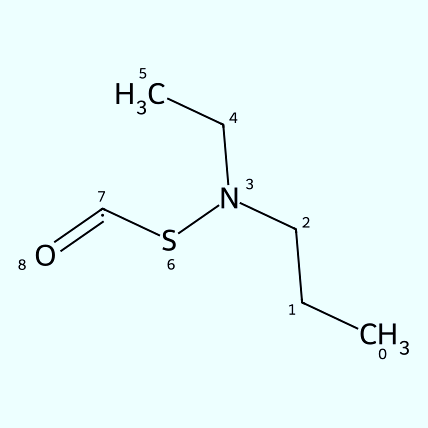 CCCN(CC)S[C]=O